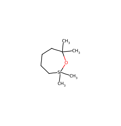 CC1(C)CCCC[Si](C)(C)O1